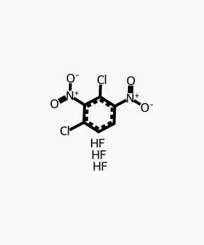 F.F.F.O=[N+]([O-])c1ccc(Cl)c([N+](=O)[O-])c1Cl